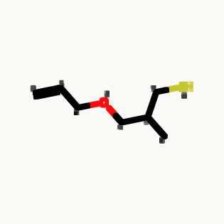 C=CCOCC(C)CS